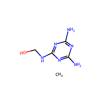 C.Nc1nc(N)nc(NCO)n1